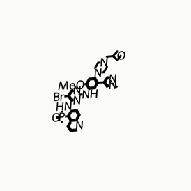 COc1cc(N2CCN(CC3COC3)CC2)c(-c2cnn(C)c2)cc1Nc1ncc(Br)c(Nc2ccc3ncccc3c2P(C)(C)=O)n1